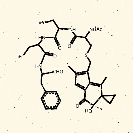 CC(=O)NC(CSCC1=C(C)C=C2C(=O)[C@](C)(O)C3(CC3)C(C)=C21)C(=O)NC(CC(C)C)C(=O)NC(CC(C)C)C(=O)NC(C=O)Cc1ccccc1